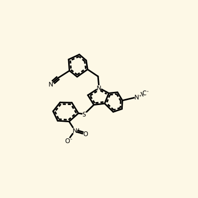 [C-]#[N+]c1ccc2c(Sc3ccccc3[N+](=O)[O-])cn(Cc3cccc(C#N)c3)c2c1